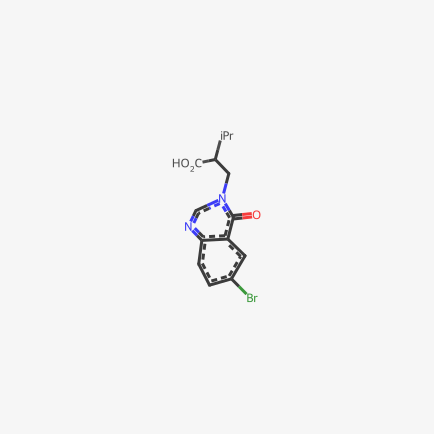 CC(C)C(Cn1cnc2ccc(Br)cc2c1=O)C(=O)O